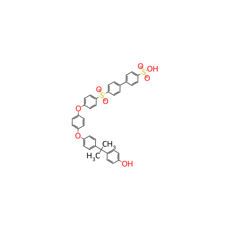 CC(C)(c1ccc(O)cc1)c1ccc(Oc2ccc(Oc3ccc(S(=O)(=O)c4ccc(-c5ccc(S(=O)(=O)O)cc5)cc4)cc3)cc2)cc1